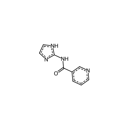 O=C(Nc1ncc[nH]1)c1cccnc1